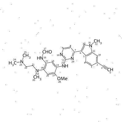 C#Cc1ccc2c(-c3ccnc(Nc4cc(NC=O)c(N(C)CCN(C)C)cc4OC)n3)cn(C)c2c1